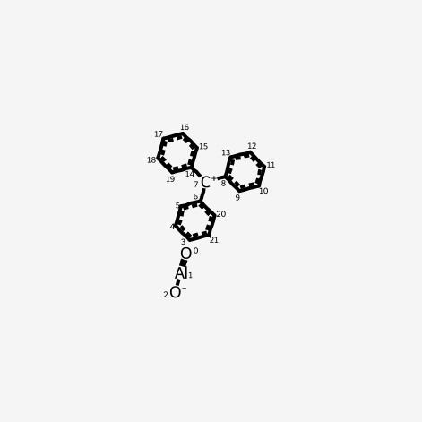 [O]=[Al][O-].c1ccc([C+](c2ccccc2)c2ccccc2)cc1